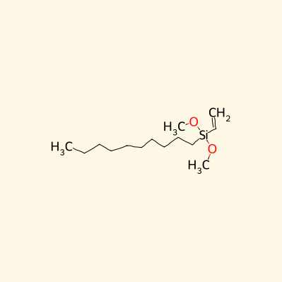 C=C[Si](CCCCCCCCCC)(OC)OC